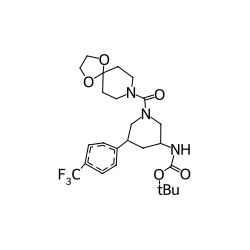 CC(C)(C)OC(=O)NC1CC(c2ccc(C(F)(F)F)cc2)CN(C(=O)N2CCC3(CC2)OCCO3)C1